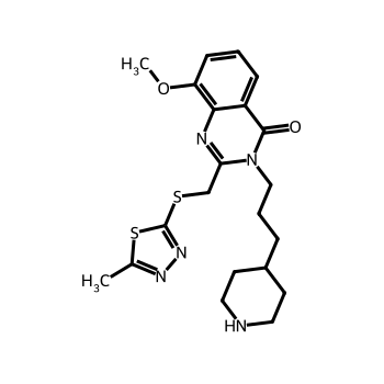 COc1cccc2c(=O)n(CCCC3CCNCC3)c(CSc3nnc(C)s3)nc12